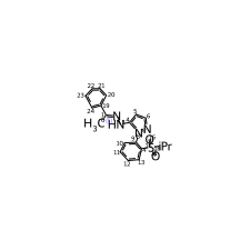 C/C(=N\Nc1ccnn1-c1ccccc1S(=O)(=O)C(C)C)c1ccccc1